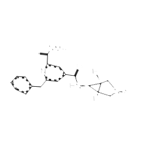 CNC(=O)c1cc(C(=O)N[C@H]2[C@@H]3CN(C(C)=O)C[C@@H]32)cc(Cc2ccccc2)n1